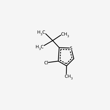 Cc1csc(C(C)(C)C)c1Cl